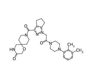 Cc1cccc(N2CCN(C(=O)Cn3nc(C(=O)N4CCC5(CC4)CNC(=O)CO5)c4c3CCC4)CC2)c1C